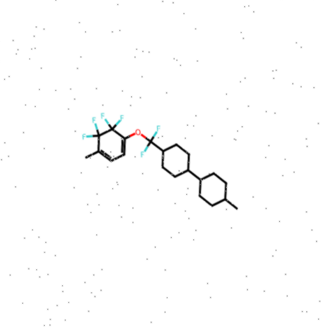 CC1=CC=C(OC(F)(F)C2CCC(C3CCC(C)CC3)CC2)C(F)(F)C1(F)F